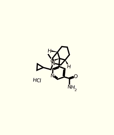 CO[C@]1(c2cncc(C(N)=O)c2)[C@@H]2CCC[C@H]1CN(CC1CC1)C2.Cl